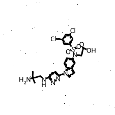 CC(C)(N)CNc1ccc(-n2ccc3cc(N(CC(=O)O)S(=O)(=O)c4cc(Cl)cc(Cl)c4)ccc32)nn1